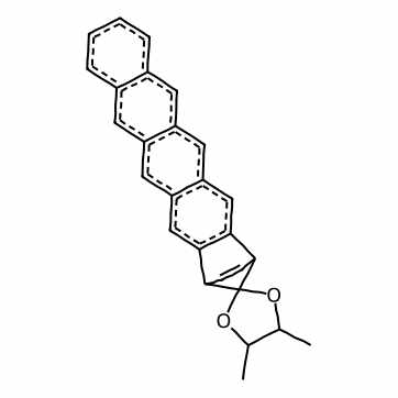 CC1OC2(OC1C)C1C=CC2c2cc3cc4cc5ccccc5cc4cc3cc21